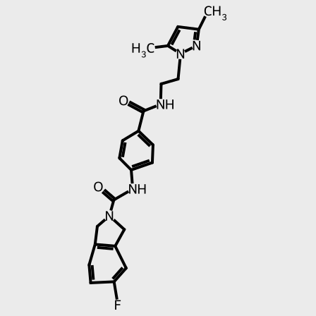 Cc1cc(C)n(CCNC(=O)c2ccc(NC(=O)N3Cc4ccc(F)cc4C3)cc2)n1